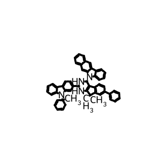 CC1(C)C2=C(c3ccc(-c4ccccc4)cc31)C(n1c3ccccc3c3cc4ccccc4cc31)NC(c1ccc3c4ccccc4n(C4(C)C=CC=CC4)c3c1)N2